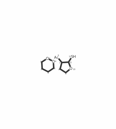 C1CCOOC1.CC(=O)C1CCOC1S